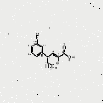 CCC(C=C(F)C(=O)O)c1cccc(F)c1